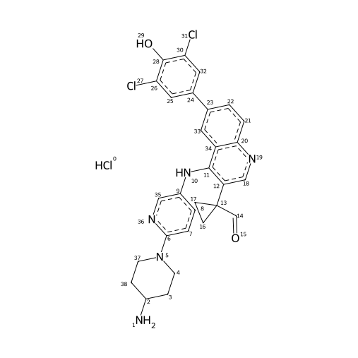 Cl.NC1CCN(c2ccc(Nc3c(C4(C=O)CC4)cnc4ccc(-c5cc(Cl)c(O)c(Cl)c5)cc34)cn2)CC1